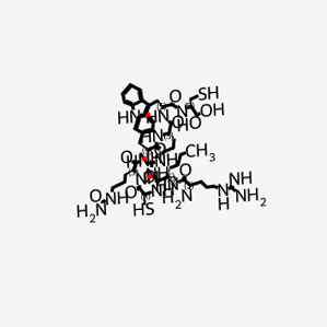 CCCC[C@H](NC(=O)[C@@H](N)CCCNC(=N)N)C(=O)N[C@@H](CS)C(=O)N[C@@H](CCCNC(N)=O)C(=O)N[C@@H](Cc1ccccc1)C(=O)N[C@@H](CCCNC(=N)N)C(=O)N[C@@H](Cc1c[nH]c2ccccc12)C(=O)N[C@@H](CS)C(=O)O